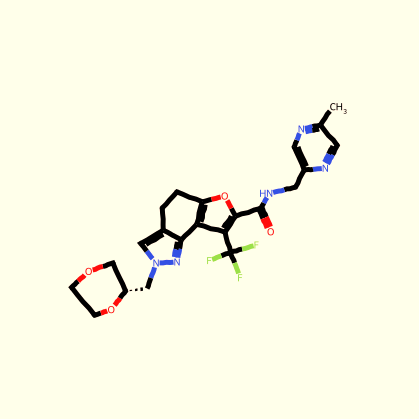 Cc1cnc(CNC(=O)c2oc3c(c2C(F)(F)F)-c2nn(C[C@H]4COCCO4)cc2CC3)cn1